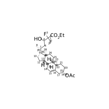 CCOC(=O)C(F)(F)C(O)C[C@@H](C)[C@H]1CC[C@H]2[C@@H]3CC=C4C[C@@H](OC(C)=O)CC[C@]4(C)[C@H]3CC[C@]12C